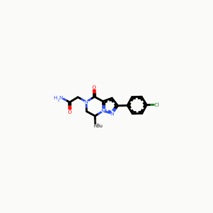 CCCCC1CN(CC(N)=O)C(=O)c2cc(-c3ccc(Cl)cc3)nn21